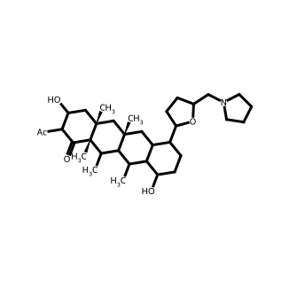 CC(=O)C1C(=O)[C@@]2(C)C(C)C3C(C)C4C(O)CCC(C5CCC(CN6CCCC6)O5)C4C[C@@]3(C)C[C@@]2(C)CC1O